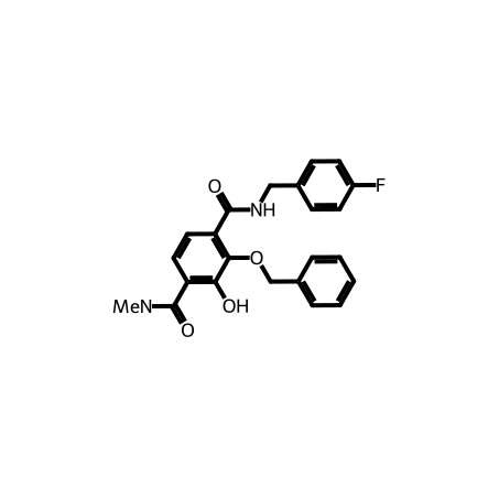 CNC(=O)c1ccc(C(=O)NCc2ccc(F)cc2)c(OCc2ccccc2)c1O